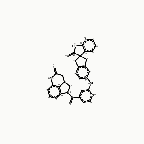 O=C1CC2CN(C(=O)c3ccnc(Nc4ccc5c(c4)CC4(C5)C(=O)Nc5ncccc54)c3)c3cccc(c32)N1